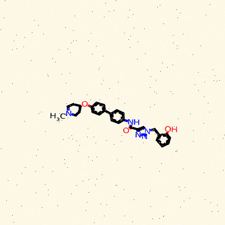 CN1CCC(Oc2ccc(-c3ccc(NC(=O)c4cn(Cc5ccccc5O)nn4)cc3)cc2)CC1